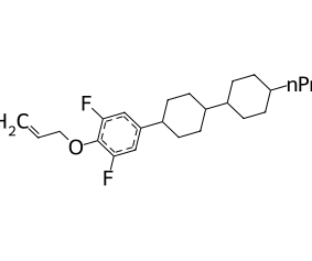 C=CCOc1c(F)cc(C2CCC(C3CCC(CCC)CC3)CC2)cc1F